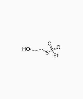 CCS(=O)(=O)SCCO